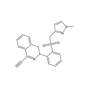 C#CC1=NC(c2ccccc2S(=O)(=O)Cc2ccn(C)n2)Cc2ccccc21